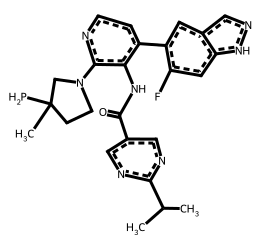 CC(C)c1ncc(C(=O)Nc2c(-c3cc4cn[nH]c4cc3F)ccnc2N2CCC(C)(P)C2)cn1